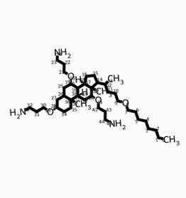 CCCCCCCCOCCCC(C)C1CC[C@H]2C3[C@H](OCCCN)CC4C[C@H](OCCCN)CCC4(C)[C@H]3C[C@H](OCCCN)C12C